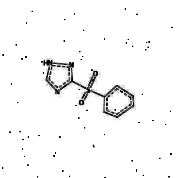 O=S(=O)(c1ccccc1)c1nc[nH]n1